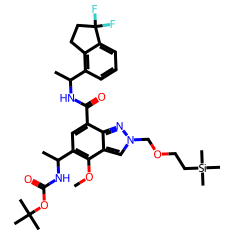 COc1c(C(C)NC(=O)OC(C)(C)C)cc(C(=O)NC(C)c2cccc3c2CCC3(F)F)c2nn(COCC[Si](C)(C)C)cc12